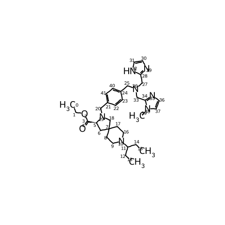 CCOC(=O)[C@@H]1CC2(CCN(C(CC)CC)CC2)CN1Cc1ccc(CN(Cc2ncc[nH]2)Cc2nccn2C)cc1